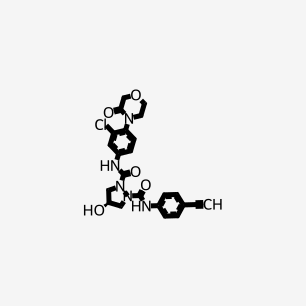 C#Cc1ccc(NC(=O)N2C[C@@H](O)CN2C(=O)Nc2ccc(N3CCOCC3=O)c(Cl)c2)cc1